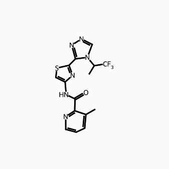 Cc1cccnc1C(=O)Nc1csc(-c2nncn2C(C)C(F)(F)F)n1